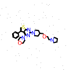 c1ccc(-c2csc3nc(N4CCC(COCCN5CCCC5)CC4)nc(N4CCOCC4)c23)cc1